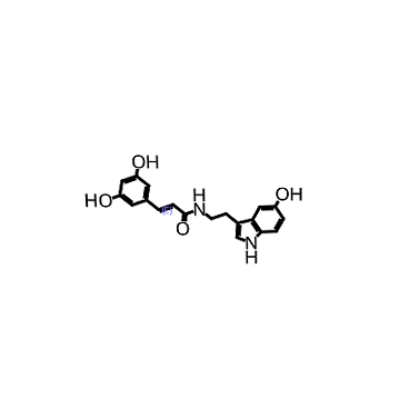 O=C(/C=C/c1cc(O)cc(O)c1)NCCc1c[nH]c2ccc(O)cc12